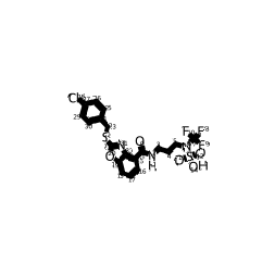 O=C(NCCCN(C(F)(F)F)S(=O)(=O)O)c1cccc2oc(SCc3ccc(Cl)cc3)nc12